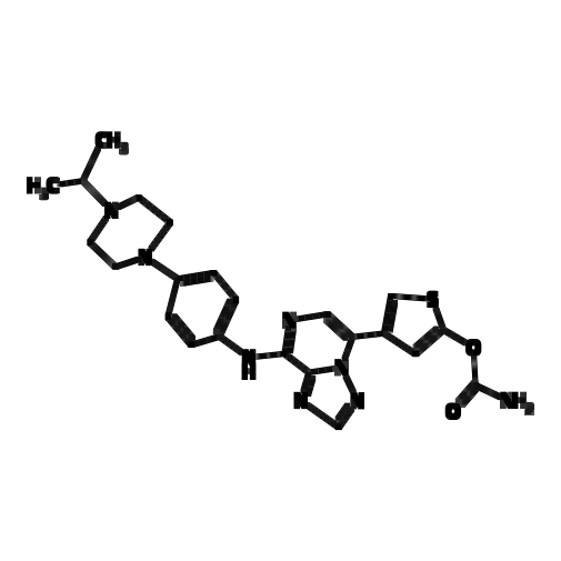 CC(C)N1CCN(c2ccc(Nc3ncc(-c4csc(OC(N)=O)c4)n4ncnc34)cc2)CC1